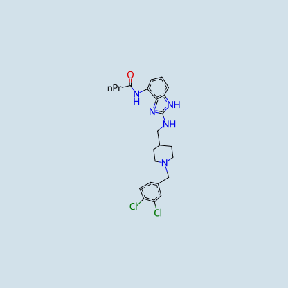 CCCC(=O)Nc1cccc2[nH]c(NCC3CCN(Cc4ccc(Cl)c(Cl)c4)CC3)nc12